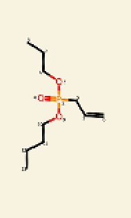 C=CCP(=O)(OCCC)OCCCC